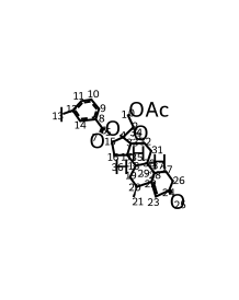 CC(=O)OCC(=O)[C@@]1(OC(=O)c2cccc(I)c2)CC[C@H]2[C@@H]3C[C@H](C)C4=CC(=O)CC[C@]4(C)[C@H]3CC[C@@]21C